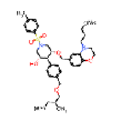 COCCCN1CCOc2ccc(CO[C@H]3CN(S(=O)(=O)c4ccc(C)cc4)C[C@@H](O)[C@@H]3c3ccc(COC[C@@H](C)CSC)cc3)cc21